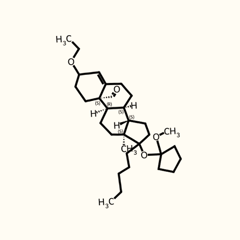 CCCCCC1(OC2(OC)CCCC2)CC[C@H]2[C@@H]3CCC4=CC(OCC)CC[C@]4(C=O)[C@@H]3CC[C@@]21C